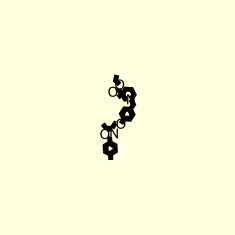 CCOC(=O)C1(C)CCCN(Cc2ccc(OCc3nc(-c4ccc(C)cc4)oc3C)cc2)C1